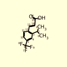 CC(C)c1cc(C(F)(F)F)ccc1/C=C/C(=O)O